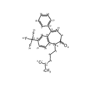 C[S+]([O-])CCCN1C(=O)CN=C(c2ccccc2)c2cc(C(F)(F)F)ccc21